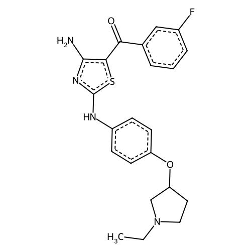 CCN1CCC(Oc2ccc(Nc3nc(N)c(C(=O)c4cccc(F)c4)s3)cc2)C1